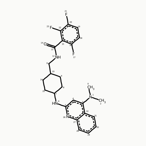 CN(C)c1cc(NC2CCC(CNC(=O)c3c(F)ccc(F)c3F)CC2)nc2ccccc12